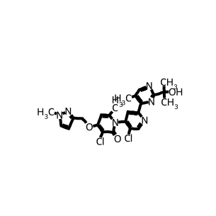 Cc1cnc(C(C)(C)O)nc1-c1cc(-n2c(C)cc(OCc3ccn(C)n3)c(Cl)c2=O)c(Cl)cn1